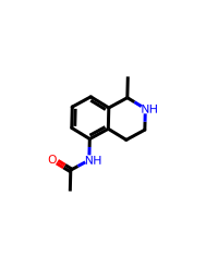 CC(=O)Nc1cccc2c1CCNC2C